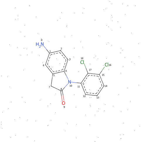 Nc1ccc2c(c1)CC(=O)N2c1cccc(Cl)c1Cl